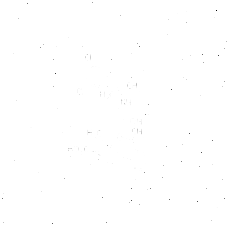 Cc1cc(-c2ccccc2C(C)OC[C@@H](O)CNC(C)(C)Cc2cc(Cl)cc(Cl)c2)ccc1C(=O)O